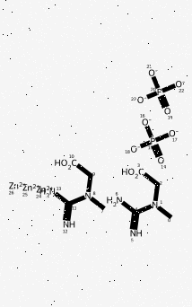 CN(CC(=O)O)C(=N)N.CN(CC(=O)O)C(=N)N.O=P([O-])([O-])[O-].O=P([O-])([O-])[O-].[Zn+2].[Zn+2].[Zn+2]